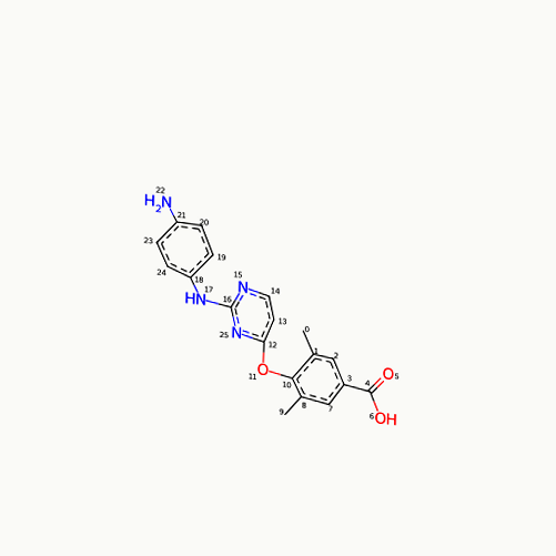 Cc1cc(C(=O)O)cc(C)c1Oc1ccnc(Nc2ccc(N)cc2)n1